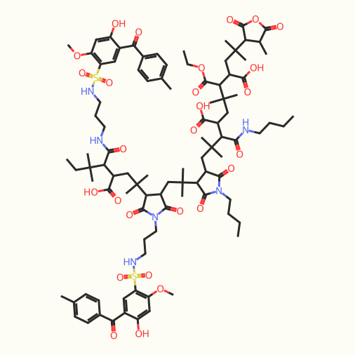 CCCCNC(=O)C(C(CC(C)(C)C(C(=O)OCC)C(CC(C)(C)C1C(=O)OC(=O)C1C)C(=O)O)C(=O)O)C(C)(C)CC1C(=O)N(CCCC)C(=O)C1C(C)(C)CC1C(=O)N(CCCNS(=O)(=O)c2cc(C(=O)c3ccc(C)cc3)c(O)cc2OC)C(=O)C1C(C)(C)CC(C(=O)O)C(C(=O)NCCCNS(=O)(=O)c1cc(C(=O)c2ccc(C)cc2)c(O)cc1OC)C(C)(C)CC